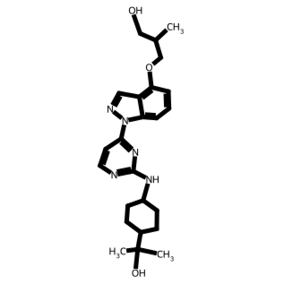 CC(CO)COc1cccc2c1cnn2-c1ccnc(NC2CCC(C(C)(C)O)CC2)n1